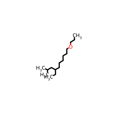 CCCOCCCCCCC(CC)CC(C)C